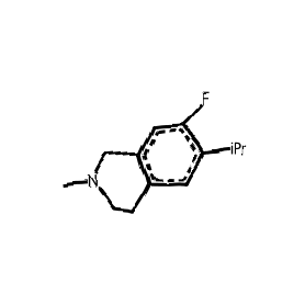 CC(C)c1cc2c(cc1F)CN(C)CC2